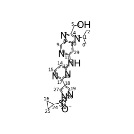 CC(C)n1c(CO)nc2cnc(Nc3ccnc(-c4cnn([S+]([O-])C5CC5)c4)n3)cc21